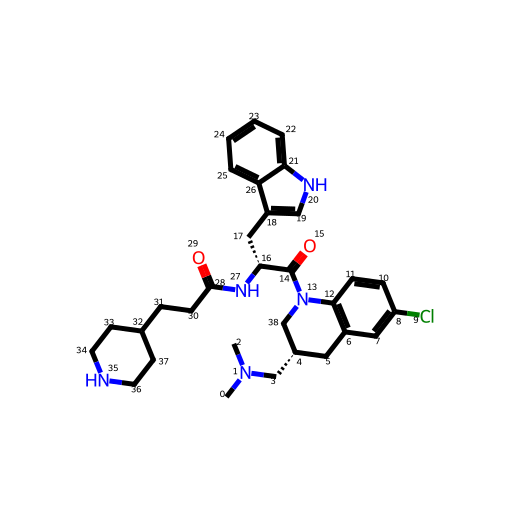 CN(C)C[C@H]1Cc2cc(Cl)ccc2N(C(=O)[C@@H](Cc2c[nH]c3ccccc23)NC(=O)CCC2CCNCC2)C1